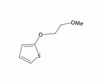 COCCOc1cccs1